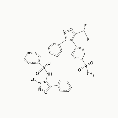 CCc1noc(-c2ccccc2)c1NS(=O)(=O)c1ccccc1.CS(=O)(=O)c1ccc(-c2c(-c3ccccc3)noc2C(F)F)cc1